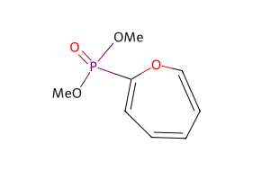 COP(=O)(OC)C1=CC=CC=CO1